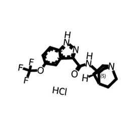 Cl.O=C(N[C@@H]1CN2CCC1CC2)c1n[nH]c2ccc(OC(F)(F)F)cc12